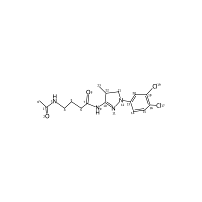 CC(=O)NCCCC(=O)NC1=NN(c2ccc(Cl)c(Cl)c2)CC1C